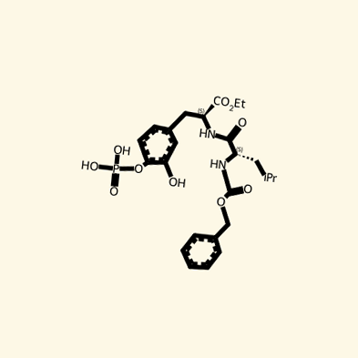 CCOC(=O)[C@H](Cc1ccc(OP(=O)(O)O)c(O)c1)NC(=O)[C@H](CC(C)C)NC(=O)OCc1ccccc1